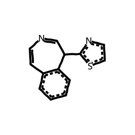 C1=Cc2ccccc2C(c2nccs2)C=N1